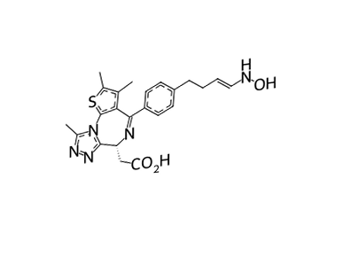 Cc1sc2c(c1C)C(c1ccc(CCC=CNO)cc1)=N[C@H](CC(=O)O)c1nnc(C)n1-2